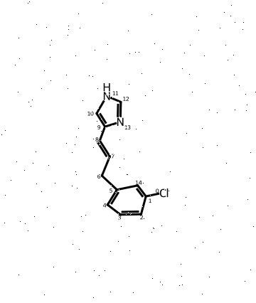 Clc1cccc(CC=Cc2c[nH]cn2)c1